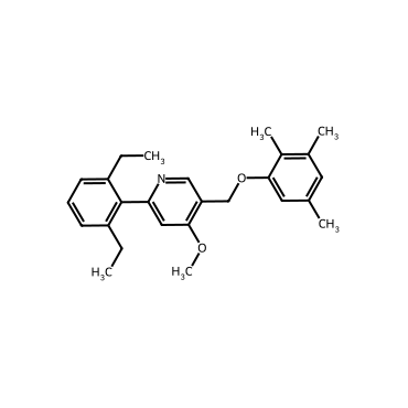 CCc1cccc(CC)c1-c1cc(OC)c(COc2cc(C)cc(C)c2C)cn1